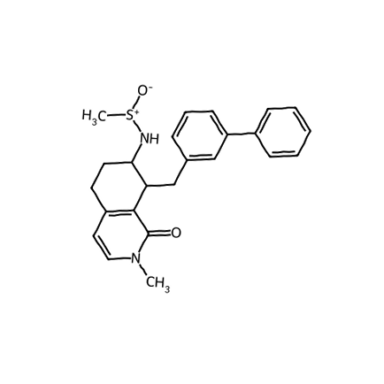 Cn1ccc2c(c1=O)C(Cc1cccc(-c3ccccc3)c1)C(N[S+](C)[O-])CC2